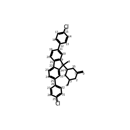 C=C1CC(C)CC(C2(C)c3cc(-c4ccc(Cl)cc4)ccc3-c3ccc(-c4ccc(Cl)cc4)cc32)C1